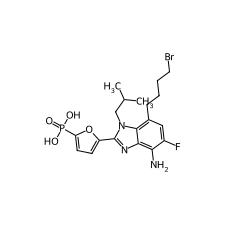 CC(C)Cn1c(-c2ccc(P(=O)(O)O)o2)nc2c(N)c(F)cc(CCCCBr)c21